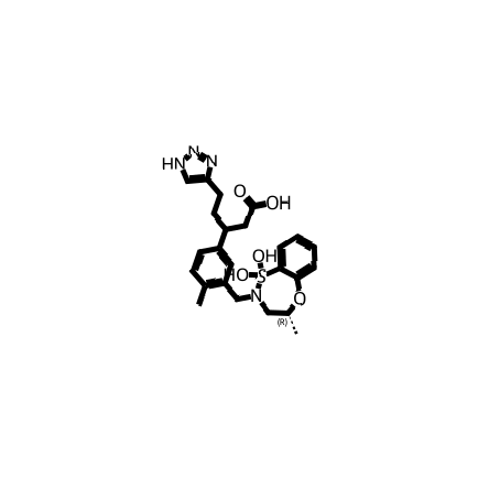 Cc1ccc(C(CCc2c[nH]nn2)CC(=O)O)cc1CN1C[C@@H](C)Oc2ccccc2S1(O)O